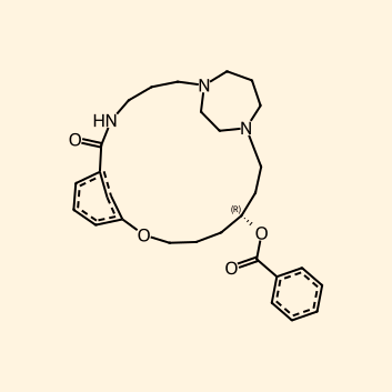 O=C1NCCCN2CCCN(CC[C@H](OC(=O)c3ccccc3)CCCOc3cccc1c3)CC2